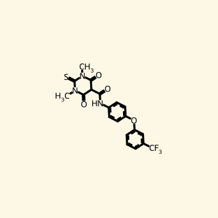 CN1C(=O)C(C(=O)Nc2ccc(Oc3cccc(C(F)(F)F)c3)cc2)C(=O)N(C)C1=S